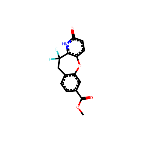 COC(=O)c1ccc2c(c1)Oc1ccc(=O)[nH]c1C(F)(F)C2